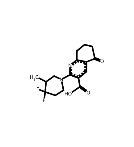 CC1CN(c2nc3c(cc2C(=O)O)C(=O)CCC3)CCC1(F)F